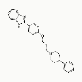 C1=C(c2ccccc2)CCN(CCCOc2ccc(-c3nc4ccccc4[nH]3)cc2)C1